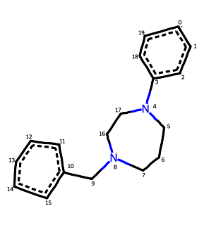 [c]1ccc(N2CCCN(Cc3ccccc3)CC2)cc1